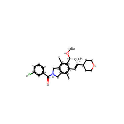 Cc1c(C=CC2CCOCC2)c([C@H](OC(C)(C)C)C(=O)O)c(C)c2c1CN(C(=O)c1cccc(F)c1)C2